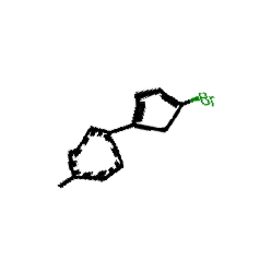 Cc1ccc(C2=CC=C(Br)C2)cc1